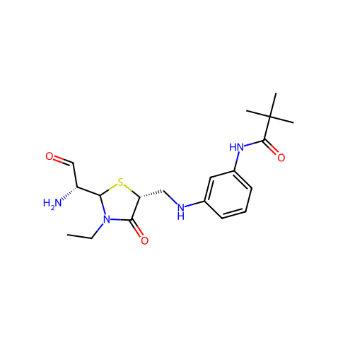 CCN1C(=O)[C@@H](CNc2cccc(NC(=O)C(C)(C)C)c2)SC1[C@H](N)C=O